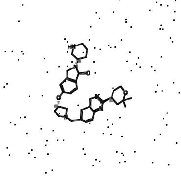 CC1(C)C[C@@H](c2ncc3cc(CN4CC[C@H](Oc5ccc6c(c5)CN([C@H]5CCCNC5)C6=O)C4)ccc3n2)CCO1